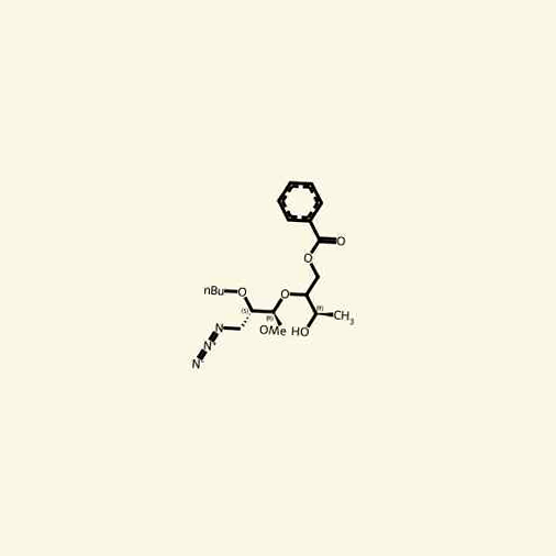 CCCCO[C@@H](CN=[N+]=[N-])[C@H](OC)OC(COC(=O)c1ccccc1)[C@@H](C)O